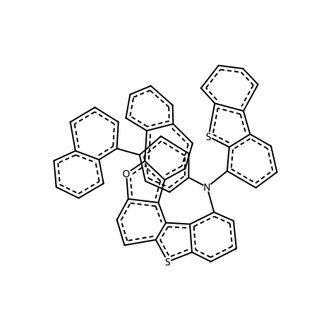 c1ccc2c(-c3ccc(N(c4cccc5c4sc4ccccc45)c4cccc5sc6ccc7oc8c9ccccc9ccc8c7c6c45)cc3)cccc2c1